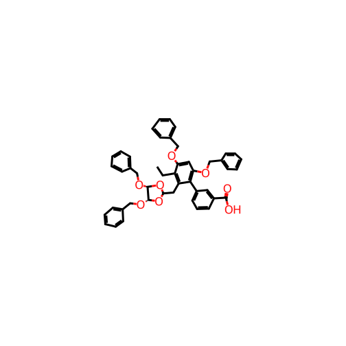 CCc1c(OCc2ccccc2)cc(OCc2ccccc2)c(-c2cccc(C(=O)O)c2)c1CC1O[C@H](OCc2ccccc2)[C@@H](OCc2ccccc2)O1